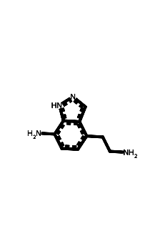 NCCc1ccc(N)c2[nH]ncc12